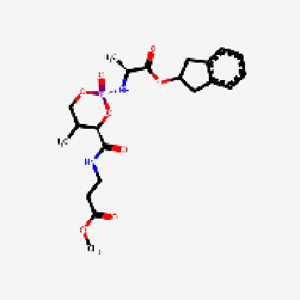 COC(=O)CCNC(=O)[C@@H]1O[P@@](=O)(N[C@@H](C)C(=O)OC2Cc3ccccc3C2)OCC1C